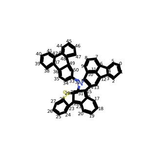 c1ccc2c(c1)-c1cccc3c1c-2cc1c2c4ccccc4c4c5ccccc5sc4c2n(-c2ccc4c5ccccc5c5ccccc5c4c2)c31